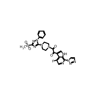 CS(=O)(=O)c1nc(N2CCN(C(=O)C(=O)c3c[nH]c4c(-n5ccnn5)ncc(F)c34)CC2)n(-c2ccccc2)n1